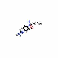 COCC(=O)Nc1ccc(/N=C(\C)N(C)C)cc1